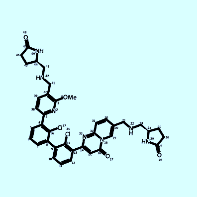 COc1nc(-c2cccc(-c3cccc(-c4cc(=O)n5cc(CNC[C@H]6CCC(=O)N6)ccc5n4)c3Cl)c2Cl)ccc1CNC[C@H]1CCC(=O)N1